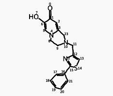 O=c1cc2n(cc1O)CCN(Cc1csc(-c3ccccc3)n1)C2